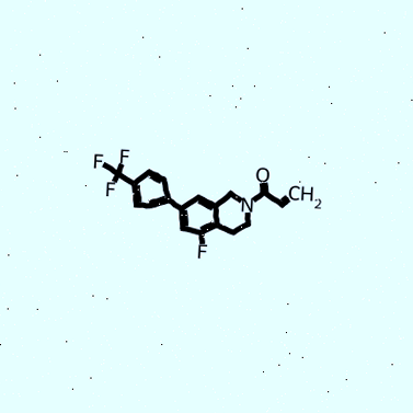 C=CC(=O)N1CCc2c(F)cc(-c3ccc(C(F)(F)F)cc3)cc2C1